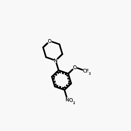 O=[N+]([O-])c1ccc(N2CCOCC2)c(OC(F)(F)F)c1